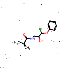 C=C(C)C(=O)NCC(O)C(Br)Oc1ccccc1